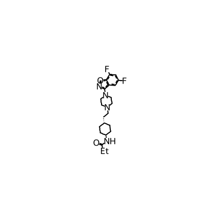 CCC(=O)N[C@H]1CC[C@H](CCN2CCN(c3noc4c(F)cc(F)cc34)CC2)CC1